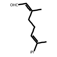 CC(=CC=O)CCC=C(C)C(C)C